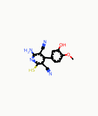 COc1ccc(-c2c(C#N)c(N)nc(S)c2C#N)cc1O